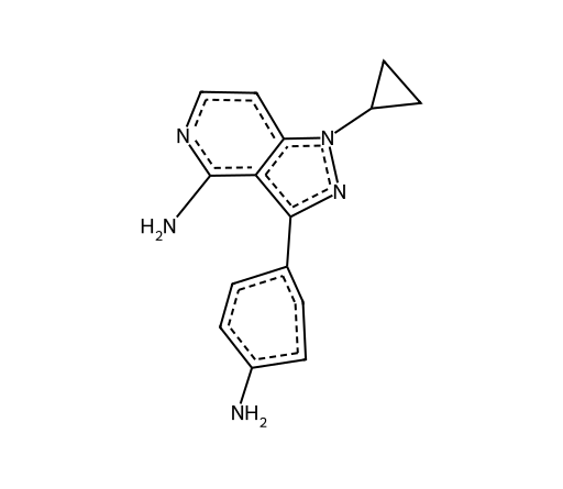 Nc1ccc(-c2nn(C3CC3)c3ccnc(N)c23)cc1